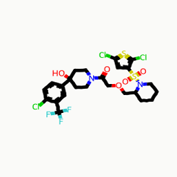 O=C(COCC1CCCCN1S(=O)(=O)c1cc(Cl)sc1Cl)N1CCC(O)(c2ccc(Cl)c(C(F)(F)F)c2)CC1